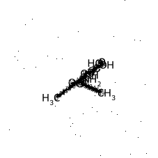 CCCCCCCCCCCC(=O)CCC(CSCC(N)C(=O)NCOOCCOCCP(=O)(O)O)OC(=O)CCCCCCCCCCC